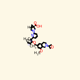 C/C=C(C)\C(OCc1cc2c(c(OC)c1)CN(C1COC1)CC2)=C(/C)c1cccc(N2C[C@@H]3C[C@]3(C(=O)O)C2)n1